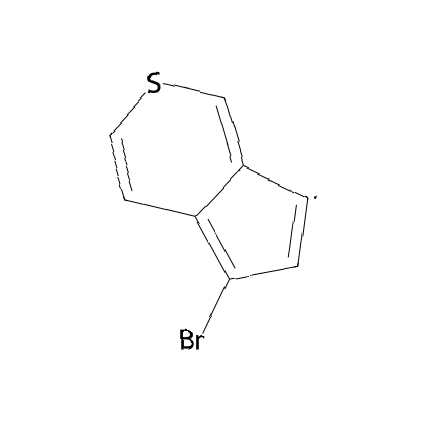 Brc1c[c]c2csccc1-2